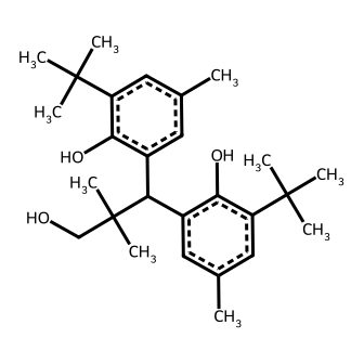 Cc1cc(C(c2cc(C)cc(C(C)(C)C)c2O)C(C)(C)CO)c(O)c(C(C)(C)C)c1